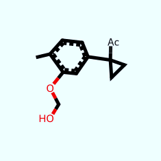 CC(=O)C1(c2ccc(C)c(OCO)c2)CC1